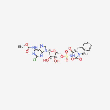 CC(C)(C)OC(=O)Nc1nc(Cl)nc2c1ncn2[C@@H]1O[C@H](COS(=O)(=O)NC(=O)[C@H](Cc2ccccc2)[N+]2(C(C)(C)C)OC2=O)[C@@H](O)[C@H]1O